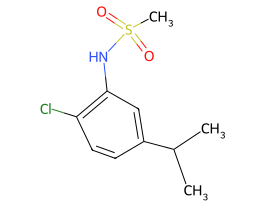 CC(C)c1ccc(Cl)c(NS(C)(=O)=O)c1